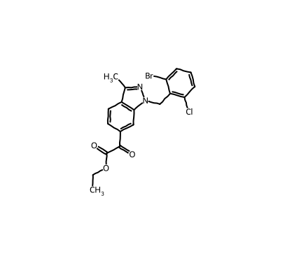 CCOC(=O)C(=O)c1ccc2c(C)nn(Cc3c(Cl)cccc3Br)c2c1